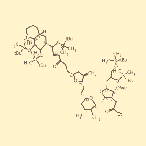 C=C1C[C@H](CCC(=O)/C=C/C(O[Si](C)(C)C(C)(C)C)[C@@H]2C[C@H]3CCCO[C@@H]3C(O[Si](C)(C)C(C)(C)C)C2O[Si](C)(C)C(C)(C)C)O[C@H]1CC[C@H]1C[C@@H](C)C(C)[C@@H](C[C@@H]2O[C@H](CC(CO[Si](C)(C)C(C)(C)C)O[Si](C)(C)C(C)(C)C)[C@H](OC)[C@H]2CC(=O)CC)O1